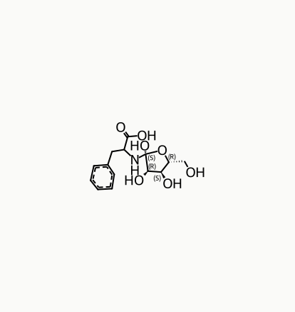 O=C(O)C(Cc1ccccc1)N[C@@]1(O)O[C@H](CO)[C@@H](O)[C@H]1O